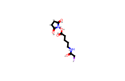 O=C(CI)NCCCCC(=O)ON1C(=O)CCC1=O